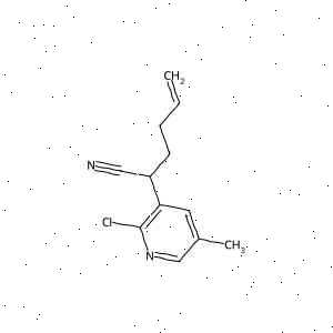 C=CCCC(C#N)c1cc(C)cnc1Cl